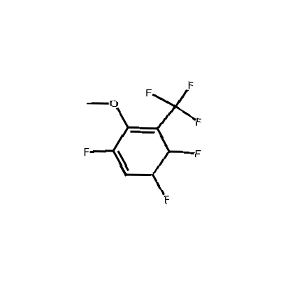 COC1=C(C(F)(F)F)C(F)[C](F)C=C1F